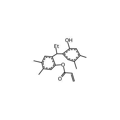 C=CC(=O)Oc1cc(C)c(C)cc1C(CC)c1cc(C)c(C)cc1O